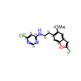 COc1cc2cc(F)oc2cc1CCNc1cc(Cl)ncn1